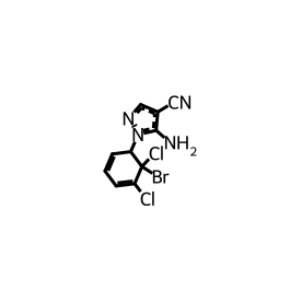 N#Cc1cnn(C2C=CC=C(Cl)C2(Cl)Br)c1N